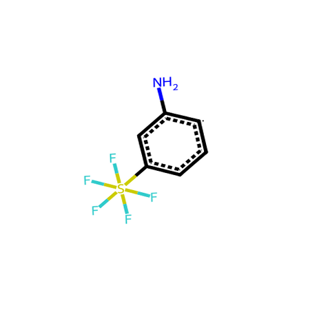 Nc1[c]ccc(S(F)(F)(F)(F)F)c1